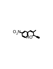 C#CC(O)C(C)=Cc1cccc([N+](=O)[O-])c1